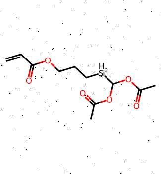 C=CC(=O)OCCC[SiH2]C(OC(C)=O)OC(C)=O